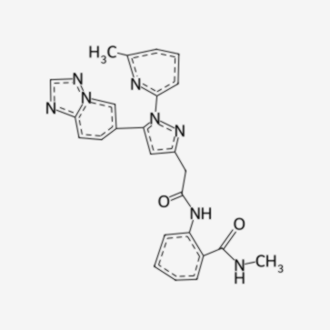 CNC(=O)c1ccccc1NC(=O)Cc1cc(-c2ccc3ncnn3c2)n(-c2cccc(C)n2)n1